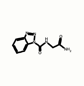 NC(=O)CNC(=O)n1nnc2ccccc21